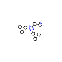 Cc1ccc(-c2cccc(-c3nc(-c4ccc(-c5ccccc5)c(-c5ccccc5)c4)nc(-c4ccc(-c5ccccc5)c(-c5ccccc5)c4)n3)c2)c(C)n1